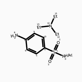 CC(=O)NS(=O)(=O)c1ccc(N)cc1.CCN(CC)CC